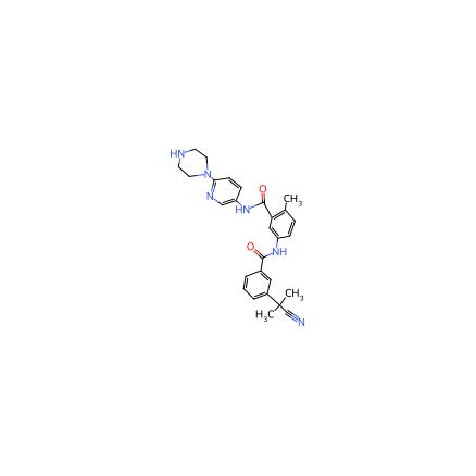 Cc1ccc(NC(=O)c2cccc(C(C)(C)C#N)c2)cc1C(=O)Nc1ccc(N2CCNCC2)nc1